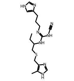 CCC(CSCc1nc[nH]c1C)NC(=NCCCc1c[nH]cn1)NC#N